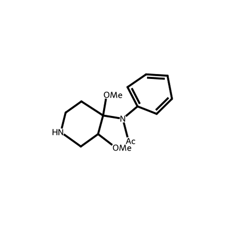 COC1CNCCC1(OC)N(C(C)=O)c1ccccc1